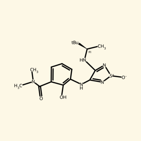 C[C@@H](Nc1n[s+]([O-])nc1Nc1cccc(C(=O)N(C)C)c1O)C(C)(C)C